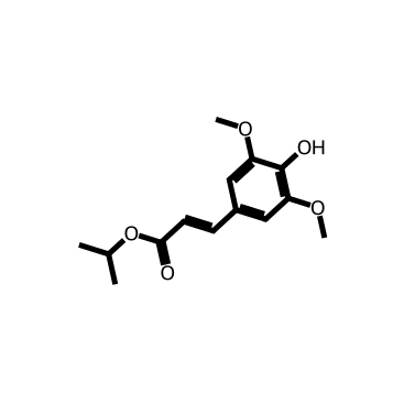 COc1cc(C=CC(=O)OC(C)C)cc(OC)c1O